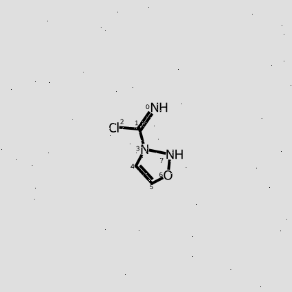 N=C(Cl)N1C=CON1